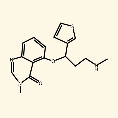 CNCCC(Oc1cccc2ncn(C)c(=O)c12)c1ccsc1